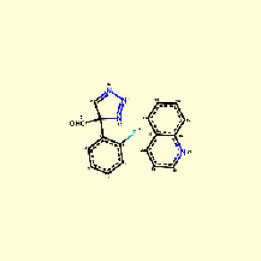 O=CC1(c2ccccc2F)C=NN=N1.c1ccc2ncccc2c1